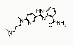 CN(C)CCCN(C)c1ccc(-c2nc3c(C(N)=O)cccc3[nH]2)cn1